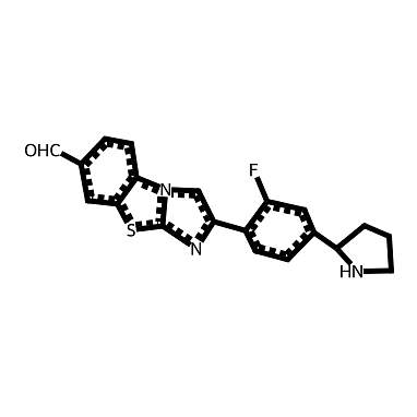 O=Cc1ccc2c(c1)sc1nc(-c3ccc(C4CCCN4)cc3F)cn12